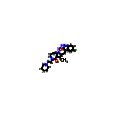 Cc1c(C=C2C(=O)Nc3ccc(F)cc32)[nH]c2c1C(=O)N(CCN1CCCCC1)CCC2